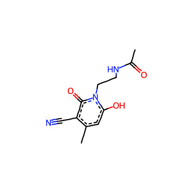 CC(=O)NCCn1c(O)cc(C)c(C#N)c1=O